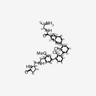 COc1nc(-c2cccc(-c3cccc(-c4ccc5nc(C(=O)NC[C@@H](C)N)cn5n4)c3Cl)c2Cl)ccc1CNC[C@H]1CCC(=O)N1